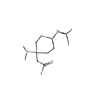 CC(=O)CC1(N(C)C)CCC(OC(C)C)CC1